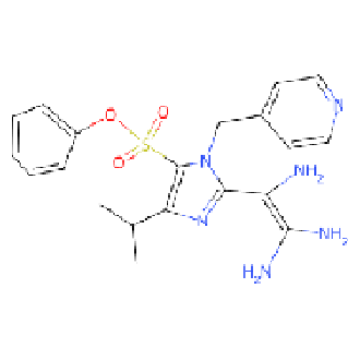 CC(C)c1nc(C(N)=C(N)N)n(Cc2ccncc2)c1S(=O)(=O)Oc1ccccc1